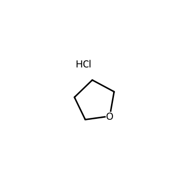 C1CCOC1.Cl